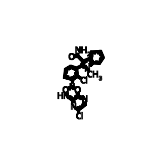 Cn1c(-c2cccc(-n3o[nH]c4nc(Cl)cnc4o3)c2Cl)c(C(N)=O)c2ccccc21